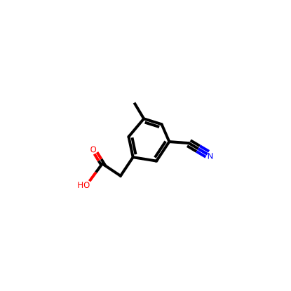 Cc1cc(C#N)cc(CC(=O)O)c1